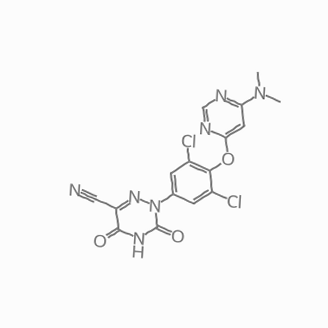 CN(C)c1cc(Oc2c(Cl)cc(-n3nc(C#N)c(=O)[nH]c3=O)cc2Cl)ncn1